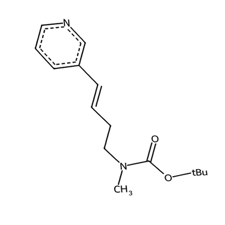 CN(CC/C=C/c1cccnc1)C(=O)OC(C)(C)C